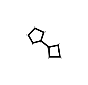 C1CCC(C2CCC2)C1